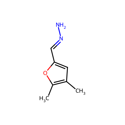 Cc1cc(C=NN)oc1C